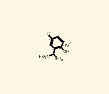 Cl.NC(C(=O)O)c1cc(F)ccc1O